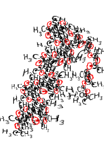 C[SiH](O[SiH](C)O[SiH](C)O[SiH](C)O[SiH](C)O[Si](C)(C)C)O[SiH](C)O[SiH](C)O[SiH](C)O[SiH](C)O[Si](C)(C)O[Si](C)(C)O[Si](C)(C)O[Si](C)(C)O[Si](C)(C)O[Si](C)(C)O[Si](C)(C)O[Si](C)(C)O[Si](C)(C)O[Si](C)(C)O[Si](C)(C)O[Si](C)(C)O[Si](C)(C)O[Si](C)(C)O[Si](C)(C)O[Si](C)(C)O[Si](C)(C)O[Si](C)(C)O[Si](C)(C)O[Si](C)(C)O[Si](C)(C)O[Si](C)(C)O[Si](C)(C)O[Si](C)(C)O[Si](C)(C)O[Si](C)(C)O[Si](C)(C)O[Si](C)(C)C